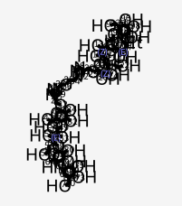 CC[C@H](/C=C(/O)[C@H](O)O[C@H](CCO)/C(O)=C(/O)[C@H](O)O[C@H](CCO)/C(O)=C(/O)[C@@H](O)OCc1cn(CCOCn2cc(CO[C@H]3OC(CO)[C@H](O[C@H](O)/C(O)=C(\O)[C@H](CCO)O[C@@H]4OC(C)[C@H](N[C@@H]5C=C(CO)[C@H](O)[C@@H](O)[C@@H]5O)CC4O)C(O)C3O)nn2)nn1)N[C@H]1C=C(CO)[C@@H](O)[C@H](O)[C@@H]1O